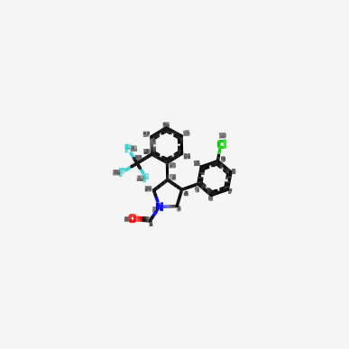 O=CN1CC(c2cccc(Cl)c2)C(c2ccccc2C(F)(F)F)C1